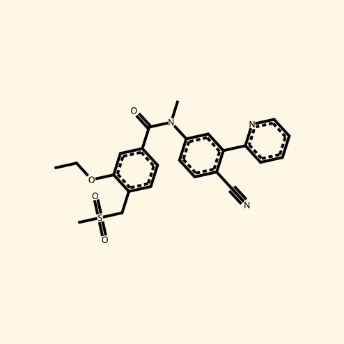 CCOc1cc(C(=O)N(C)c2ccc(C#N)c(-c3ccccn3)c2)ccc1CS(C)(=O)=O